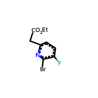 CCOC(=O)Cc1ccc(F)c(Br)n1